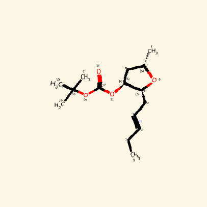 CC/C=C/C[C@@H]1O[C@@H](C)C[C@@H]1OC(=O)OC(C)(C)C